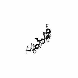 CCCC1CC(NC(=O)C(C)(C)Oc2ccc(F)cc2Cl)CCN1c1ccc(C(=O)NCC(F)F)cn1